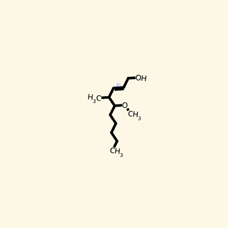 CCCCCC(OC)C(C)/C=C/CO